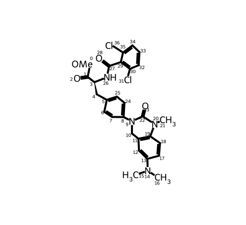 COC(=O)[C@H](Cc1ccc(N2Cc3cc(N(C)C)ccc3N(C)C2=O)cc1)NC(=O)c1c(Cl)cccc1Cl